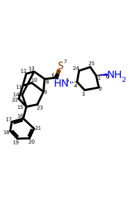 N[C@H]1CC[C@H](NC(=S)C2C3CC4CC2CC(c2ccccc2)(C4)C3)CC1